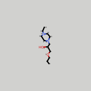 CCCOCC(O)CN1CCN(CC)CC1